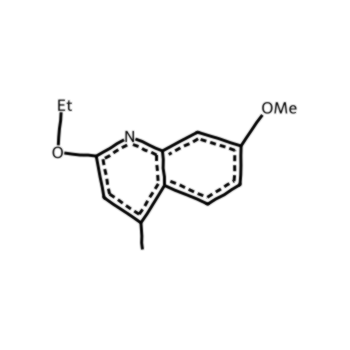 CCOc1cc(C)c2ccc(OC)cc2n1